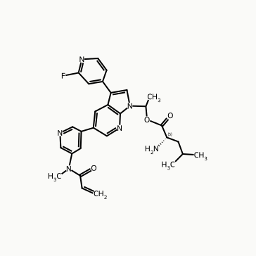 C=CC(=O)N(C)c1cncc(-c2cnc3c(c2)c(-c2ccnc(F)c2)cn3C(C)OC(=O)[C@@H](N)CC(C)C)c1